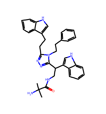 CC(C)(N)C(=O)NCC(c1c[nH]c2ccccc12)c1nnc(CCc2c[nH]c3ccccc23)n1CCc1ccccc1